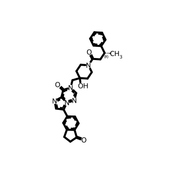 C[C@H](CC(=O)N1CCC(O)(Cn2cnn3c(-c4ccc5c(c4)CCC5=O)cnc3c2=O)CC1)c1ccccc1